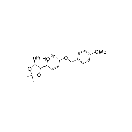 CCC[C@@H]1OC(C)(C)O[C@@H]1C(O)/C=C\[C@@H](OCc1ccc(OC)cc1)C(C)C